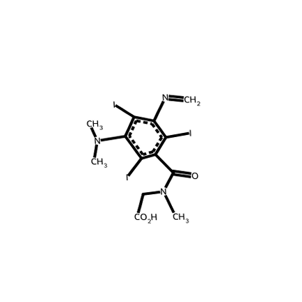 C=Nc1c(I)c(C(=O)N(C)CC(=O)O)c(I)c(N(C)C)c1I